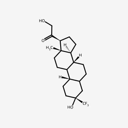 C[C@]12CCC3[C@H]4CC[C@](O)(C(F)(F)F)CC4CC[C@H]3[C@@H]1CC[C@@H]2C(=O)CO